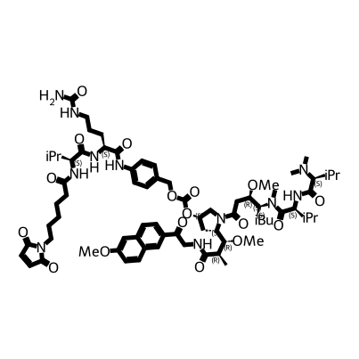 CC[C@H](C)[C@@H]([C@@H](CC(=O)N1C[C@@H](OC(=O)OCc2ccc(NC(=O)[C@H](CCCNC(N)=O)NC(=O)[C@@H](NC(=O)CCCCCN3C(=O)C=CC3=O)C(C)C)cc2)C[C@H]1[C@H](OC)[C@@H](C)C(=O)NCC(=O)c1ccc2cc(OC)ccc2c1)OC)N(C)C(=O)[C@@H](NC(=O)[C@H](C(C)C)N(C)C)C(C)C